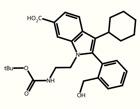 CC(C)(C)OC(=O)NCCn1c(-c2ccccc2CO)c(C2CCCCC2)c2ccc(C(=O)O)cc21